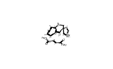 C1=NC2(CN1)CSc1ccccc1C2.O=C(O)/C=C/C(=O)O